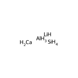 [AlH3].[CaH2].[LiH].[SiH4]